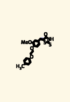 COc1cc(/C=C2\SC(=S)NC2=O)ccc1OCCOc1ccc(C)cc1